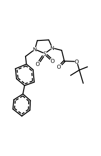 CC(C)(C)OC(=O)CN1CCN(Cc2ccc(-c3ccccc3)cc2)S1(=O)=O